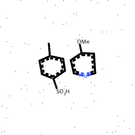 COc1ccncc1.Cc1ccc(S(=O)(=O)O)cc1